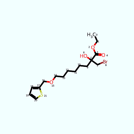 CCOC(=O)C(O)(CBr)CCCCCCOCc1cccs1